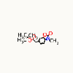 Cn1c(=O)oc2cc(CC(=O)OC(C)(C)C)ccc21